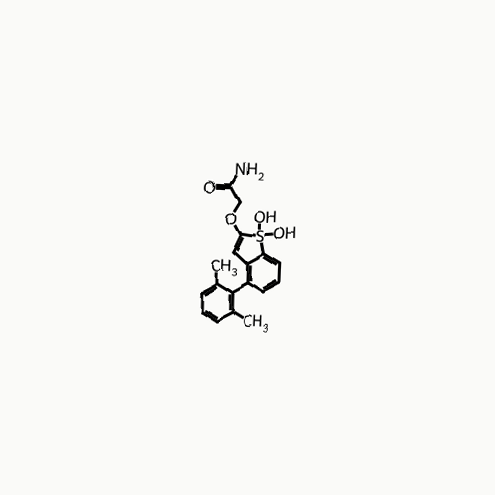 Cc1cccc(C)c1-c1cccc2c1C=C(OCC(N)=O)S2(O)O